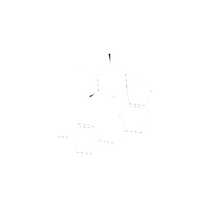 CCc1ccc(Cc2ccc3c(c2)[C@]2(OC3)O[C@H](C)[C@@H](O)[C@H](O)[C@H]2O)cc1